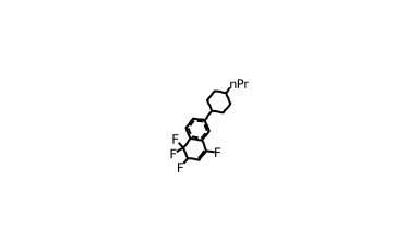 CCCC1CCC(c2ccc3c(c2)C(F)=CC(F)C3(F)F)CC1